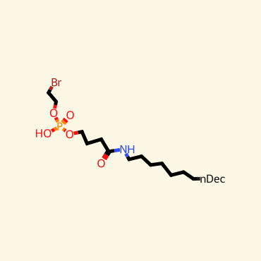 CCCCCCCCCCCCCCCCCNC(=O)CCCOP(=O)(O)OCCBr